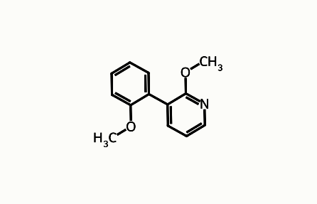 COc1ccccc1-c1cccnc1OC